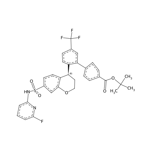 CC(C)(C)OC(=O)c1ccc(-c2cc(C(F)(F)F)ccc2[C@H]2CCOc3cc(S(=O)(=O)Nc4cccc(F)n4)ccc32)cc1